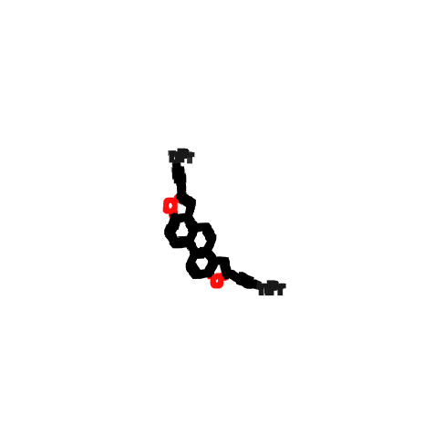 CCCC#Cc1cc2c(ccc3c2ccc2c4cc(C#CCCC)oc4ccc23)o1